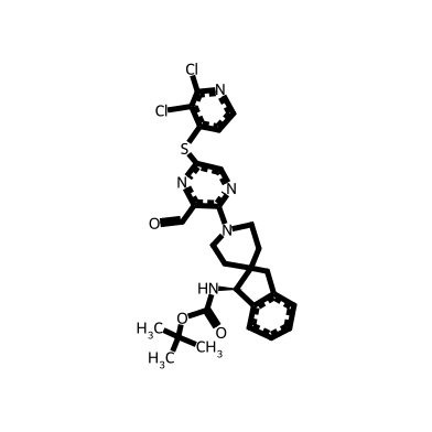 CC(C)(C)OC(=O)N[C@@H]1c2ccccc2CC12CCN(c1ncc(Sc3ccnc(Cl)c3Cl)nc1C=O)CC2